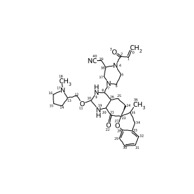 C=CC(=O)N1CCN(C2NC(OCC3CCCN3C)NC3C(=O)[C@@]4(CCC32)Oc2ccccc2CC4C)CC1CC#N